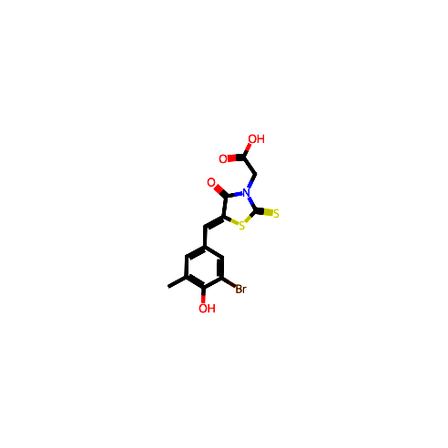 Cc1cc(/C=C2\SC(=S)N(CC(=O)O)C2=O)cc(Br)c1O